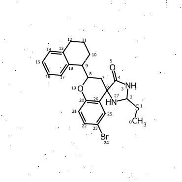 CSC1NC(=O)C2(CC(C3CCCc4ccccc43)Oc3ccc(Br)cc32)N1